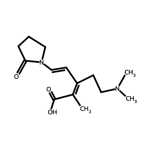 CC(C(=O)O)=C(C=CN1CCCC1=O)CCN(C)C